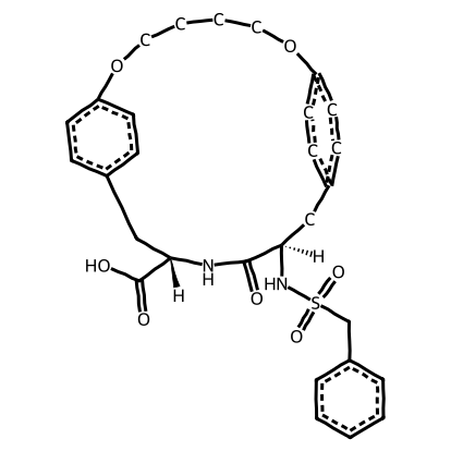 O=C(O)[C@@H]1Cc2ccc(cc2)OCCCCOc2ccc(cc2)C[C@@H](NS(=O)(=O)Cc2ccccc2)C(=O)N1